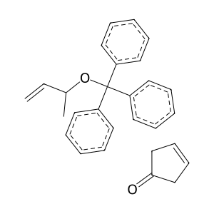 C=CC(C)OC(c1ccccc1)(c1ccccc1)c1ccccc1.O=C1CC=CC1